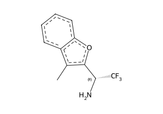 Cc1c([C@@H](N)C(F)(F)F)oc2ccccc12